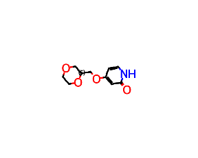 O=c1cc(OC[C@@H]2COCCO2)cc[nH]1